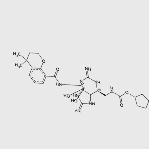 CC1(C)CCOc2c(C(=O)NC3CN4C(=N)N[C@@H](CNC(=O)OC5CCCC5)C5NC(=N)NC54C3(O)O)cccc21